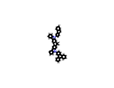 CC1(C)c2cc3c(cc2C2C=c4c(n(-c5ccc6c(c5)-c5ccccc5C6)c5ccccc45)=CC21)c1ccccc1n3-c1ccc2c3ccccc3c3ccccc3c2c1